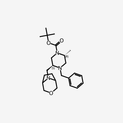 C[C@@H]1CN(Cc2ccccc2)[C@@H](CN2C3CCC2COC3)CN1C(=O)OC(C)(C)C